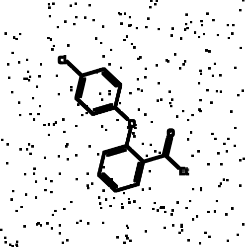 CCC(=O)c1ccccc1Oc1ccc(Cl)cc1